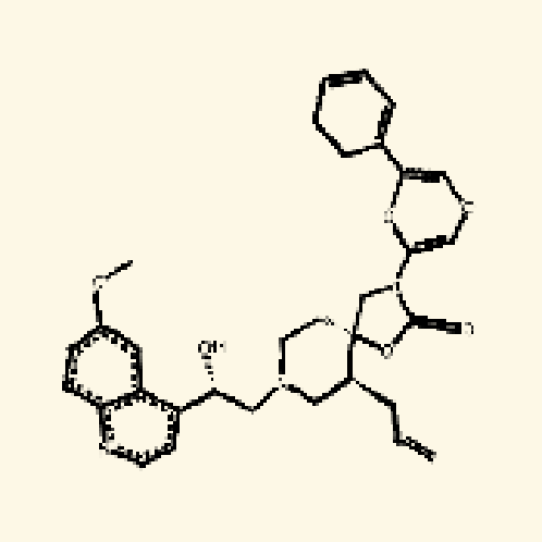 C=CC[C@H]1CN(C[C@@H](O)c2ccnc3ccc(OC)cc23)CC[C@@]12CN(C1=COC=C(C3=CC=CCC3)O1)C(=O)O2